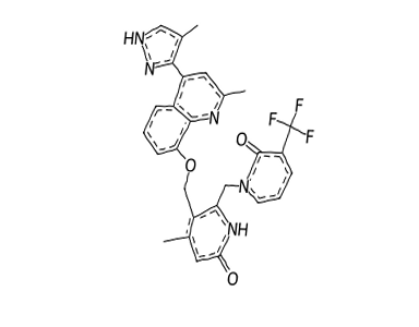 Cc1cc(-c2n[nH]cc2C)c2cccc(OCc3c(C)cc(=O)[nH]c3Cn3cccc(C(F)(F)F)c3=O)c2n1